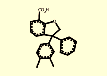 Cc1ccc(C2(c3ccccc3)COc3c(C(=O)O)cccc32)cc1C